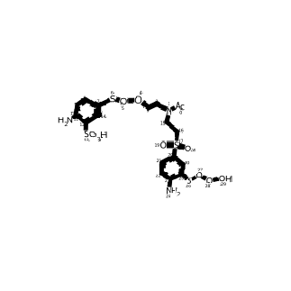 CC(=O)N(CCOOSc1ccc(N)c(S(=O)(=O)O)c1)CCS(=O)(=O)c1ccc(N)c(SOOO)c1